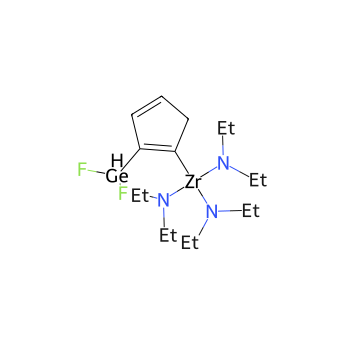 CC[N](CC)[Zr]([C]1=[C]([GeH]([F])[F])C=CC1)([N](CC)CC)[N](CC)CC